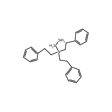 [SiH3][SiH2][Si](CCc1ccccc1)(CCc1ccccc1)CCc1ccccc1